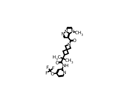 Cn1ccn2ncc(C(=O)N3CC4(CC(C(C)(C)C(=O)Nc5cc(OC(F)(F)F)ccn5)C4)C3)c12